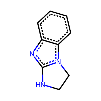 c1ccc2c(c1)nc1n2CCN1